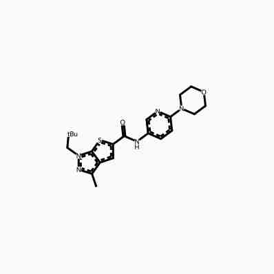 Cc1nn(CC(C)(C)C)c2sc(C(=O)Nc3ccc(N4CCOCC4)nc3)cc12